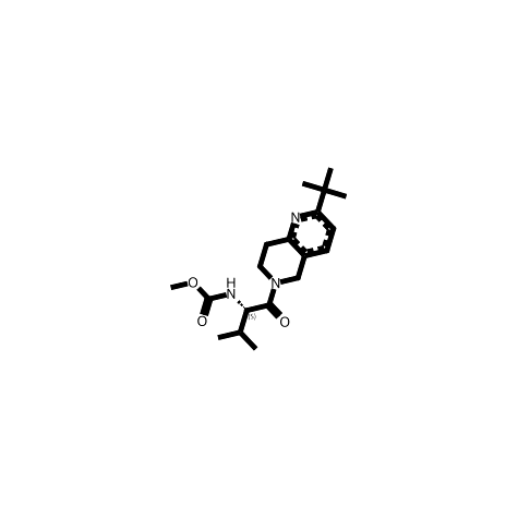 COC(=O)N[C@H](C(=O)N1CCc2nc(C(C)(C)C)ccc2C1)C(C)C